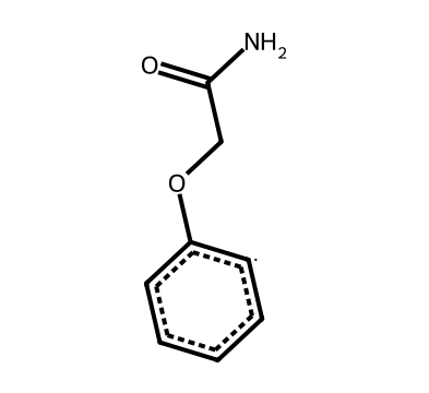 NC(=O)COc1[c]cccc1